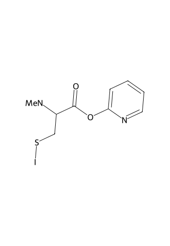 CNC(CSI)C(=O)Oc1ccccn1